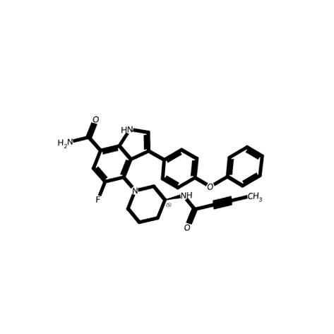 CC#CC(=O)N[C@H]1CCCN(c2c(F)cc(C(N)=O)c3[nH]cc(-c4ccc(Oc5ccccc5)cc4)c23)C1